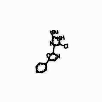 CC(C)(C)c1nc(-c2ncc(-c3ccccc3)o2)c(Cl)[nH]1